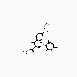 C[C@H](NC(=O)c1cn(-c2c(F)cc(F)cc2F)c2nc(N(C)C[C@@H](C)O)ccc2c1=O)C(F)(F)F